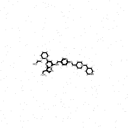 CCc1cnn2c(NCc3ccc(OCC4CCN(CC5CCNCC5)CC4)nc3)cc(N3CCCC[C@H]3CCO)nc12